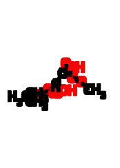 CCCOCCOC(=O)c1cc(-c2ccc(C(=O)OCCOCC[Si](C)(C)C)c(C(=O)O)c2)ccc1C(=O)O